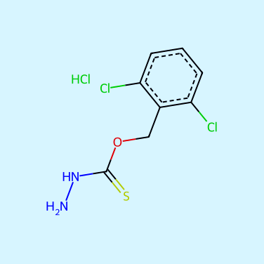 Cl.NNC(=S)OCc1c(Cl)cccc1Cl